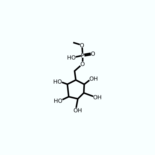 COP(=O)(O)OCC1C(O)C(O)C(O)C(O)C1O